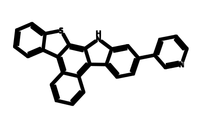 c1cncc(-c2ccc3c(c2)[nH]c2c4sc5ccccc5c4c4ccccc4c32)c1